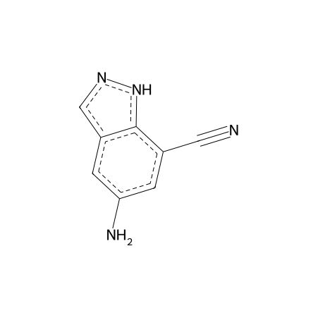 N#Cc1cc(N)cc2cn[nH]c12